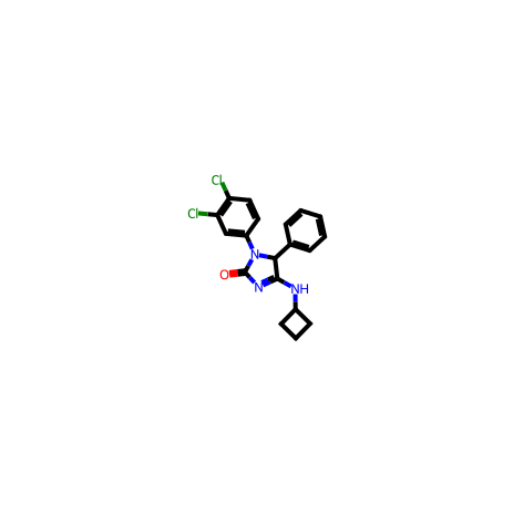 O=C1N=C(NC2CCC2)C(c2ccccc2)N1c1ccc(Cl)c(Cl)c1